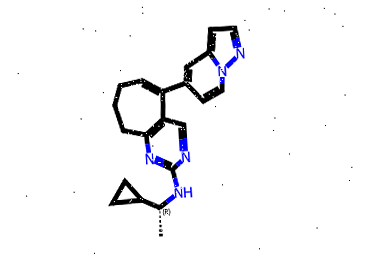 C[C@@H](Nc1ncc2c(n1)CCCC=C2c1ccn2nccc2c1)C1CC1